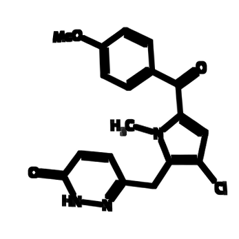 COc1ccc(C(=O)c2cc(Cl)c(Cc3ccc(=O)[nH]n3)n2C)cc1